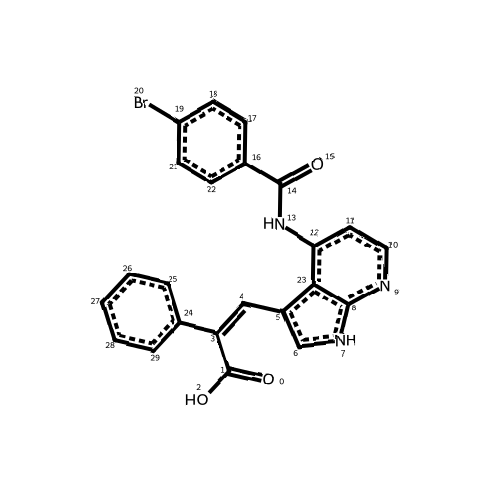 O=C(O)C(=Cc1c[nH]c2nccc(NC(=O)c3ccc(Br)cc3)c12)c1ccccc1